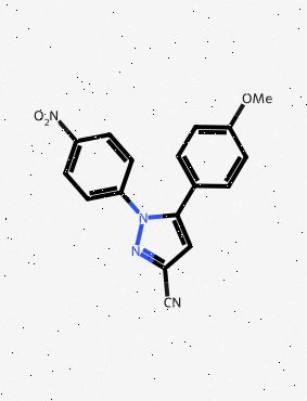 COc1ccc(-c2cc(C#N)nn2-c2ccc([N+](=O)[O-])cc2)cc1